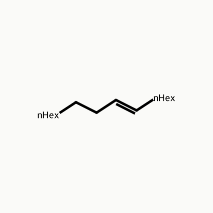 [CH2]CCCCCCCC=CCCCCCC